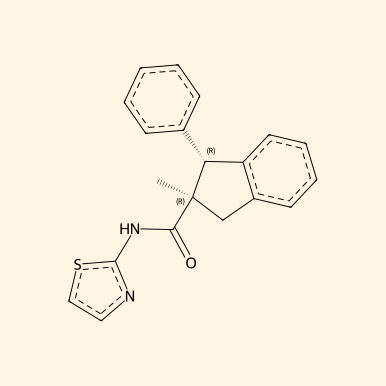 C[C@@]1(C(=O)Nc2nccs2)Cc2ccccc2[C@H]1c1ccccc1